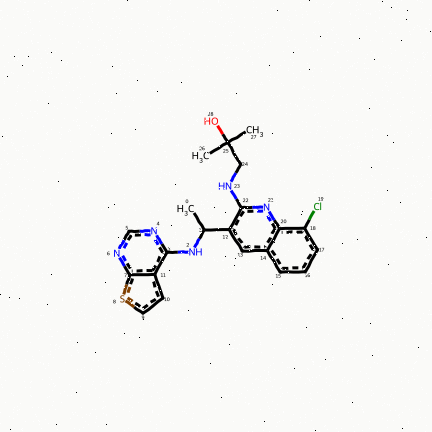 CC(Nc1ncnc2sccc12)c1cc2cccc(Cl)c2nc1NCC(C)(C)O